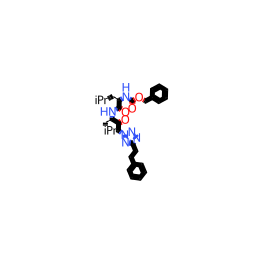 CC(C)C[C@H](NC(=O)[C@H](CC(C)C)NC(=O)OCc1ccccc1)C(=O)Cn1nnc(CCc2ccccc2)n1